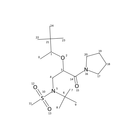 CC(OC(CN(C(C)(C)C)S(C)(=O)=O)C(=O)N1CCCC1)C(C)(C)C